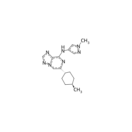 Cn1cc(Nc2nc([C@H]3CC[C@H](C)CC3)cn3ncnc23)cn1